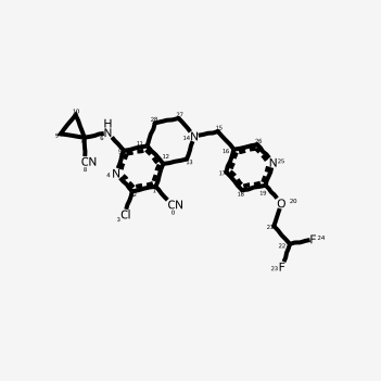 N#Cc1c(Cl)nc(NC2(C#N)CC2)c2c1CN(Cc1ccc(OCC(F)F)nc1)CC2